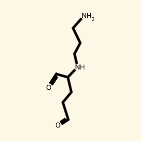 NCCCNC([C]=O)CCC=O